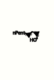 CCCCC[C@@H]1C[C@@H]1C[C@@H]1C[C@@H]1CO